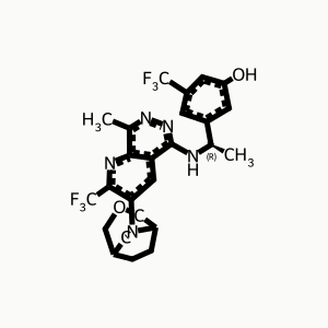 Cc1nnc(N[C@H](C)c2cc(O)cc(C(F)(F)F)c2)c2cc(N3CC4CCC3COC4)c(C(F)(F)F)nc12